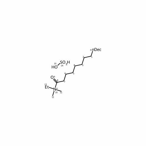 CCCCCCCCCCCCCCCCCC(=O)[N+](C)(C)CC.O=S(=O)(O)O